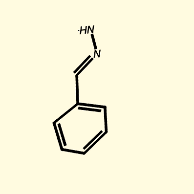 [NH]/N=C/c1ccccc1